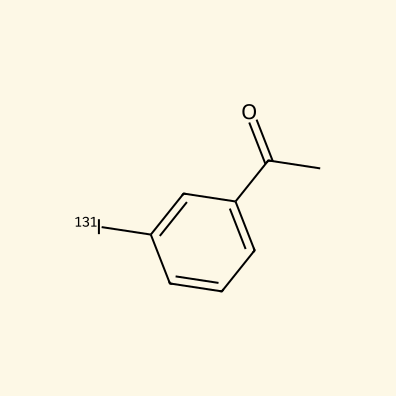 CC(=O)c1cccc([131I])c1